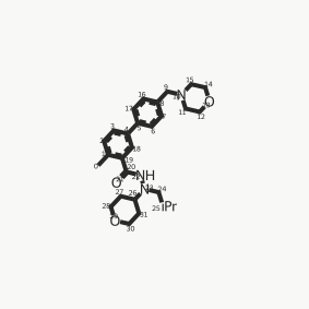 Cc1ccc(-c2ccc(CN3CCOCC3)cc2)cc1C(=O)NN(CC(C)C)C1CCOCC1